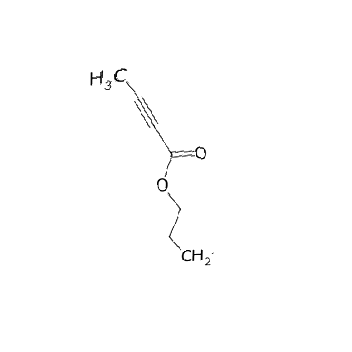 [CH2]CCOC(=O)C#CC